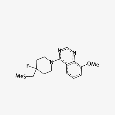 COc1cccc2c(N3CCC(F)(CSC)CC3)ncnc12